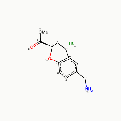 COC(=O)[C@H]1CCc2cc(CN)ccc2O1.Cl